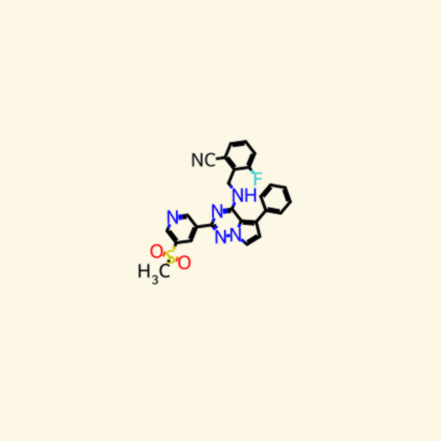 CS(=O)(=O)c1cncc(-c2nc(NCc3c(F)cccc3C#N)c3c(-c4ccccc4)ccn3n2)c1